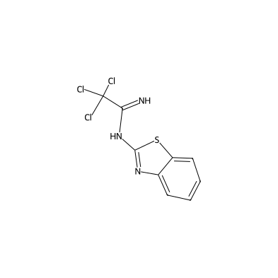 N=C(Nc1nc2ccccc2s1)C(Cl)(Cl)Cl